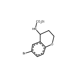 CCOC(=O)NC1CCOc2ccc(Br)cc21